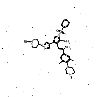 CCN1CCC(n2cc(-c3cn(S(=O)(=O)c4ccccc4)c(N)c3/C=C(\N)c3cc(C)c(N4CCN(C)CC4)c(C)c3)cn2)CC1